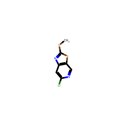 CSc1nc2cc(Cl)ncc2s1